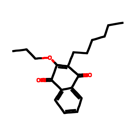 CCCCCCC1=C(OCCC)C(=O)c2ccccc2C1=O